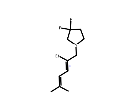 CC/C(=C\C=C(C)C)CN1CCC(F)(F)C1